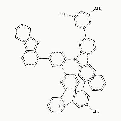 Cc1cc(C)cc(-c2ccc3c4ccc(-c5cc(C)cc(C)c5)cc4n(-c4ccc(-c5cccc6c5oc5ccccc56)cc4-c4nc(-c5ccccc5)nc(-c5ccccc5)n4)c3c2)c1